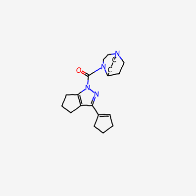 O=C(N1CCN2CCC1CC2)n1nc(C2=CCCC2)c2c1CCC2